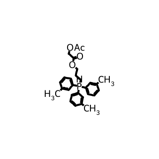 CC(=O)OCC(=O)OCCC[PH](c1cccc(C)c1)(c1cccc(C)c1)c1cccc(C)c1